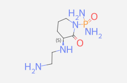 NCCN[C@H]1CCCN(P(N)(N)=O)C1=O